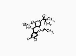 C=CCOc1cc(Cl)c(Cl)cc1[C@H](N[S@@+]([O-])C(C)(C)C)C1CCN(C(=O)C(=C)C)CC1